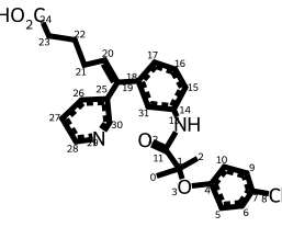 CC(C)(Oc1ccc(Cl)cc1)C(=O)Nc1cccc(C(=CCCCC(=O)O)c2cccnc2)c1